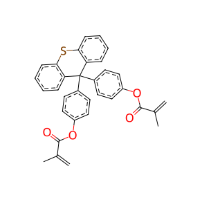 C=C(C)C(=O)Oc1ccc(C2(c3ccc(OC(=O)C(=C)C)cc3)c3ccccc3Sc3ccccc32)cc1